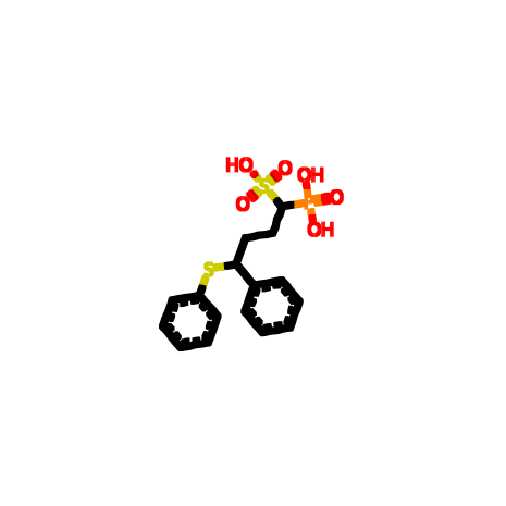 O=P(O)(O)C(CCC(Sc1ccccc1)c1ccccc1)S(=O)(=O)O